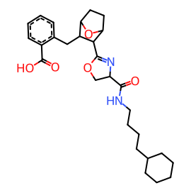 O=C(O)c1ccccc1CC1C2CCC(O2)C1C1=NC(C(=O)NCCCCC2CCCCC2)CO1